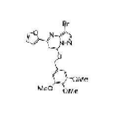 COc1cc(COc2cc(-c3ccco3)nc3c(Br)cnn23)cc(OC)c1OC